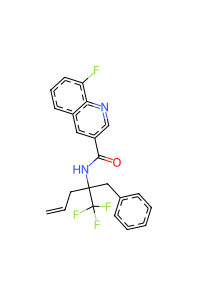 C=CCC(Cc1ccccc1)(NC(=O)c1cnc2c(F)cccc2c1)C(F)(F)F